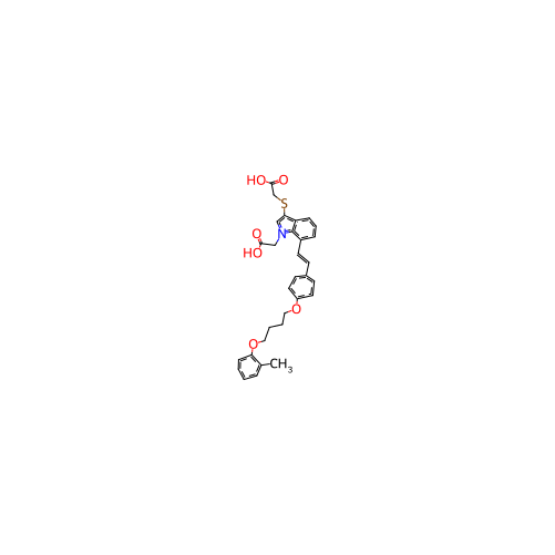 Cc1ccccc1OCCCCOc1ccc(C=Cc2cccc3c(SCC(=O)O)cn(CC(=O)O)c23)cc1